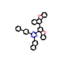 C1=CC(c2ccccc2)CC=C1c1nc(-c2ccc3ccccc3c2)nc(-c2cc(-c3cc4c5ccccc5oc4c4ccccc34)cc3oc4ccccc4c23)n1